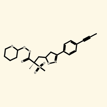 CC#Cc1ccc(C2=NOC(C[C@](C)(C(=O)OOC3CCCCO3)S(C)(=O)=O)C2)cc1